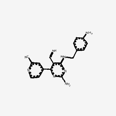 N#Cc1cc(-c2nc(N)nc(NCc3ccc(N)cc3)c2C=N)ccn1